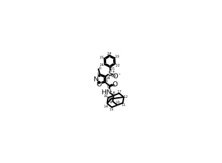 Cc1noc(C(=O)NC23CC4CC(CC(C4)C2)C3)c1[S+]([O-])c1ccccc1